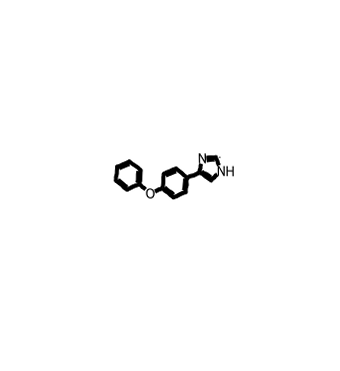 [c]1nc(-c2ccc(Oc3ccccc3)cc2)c[nH]1